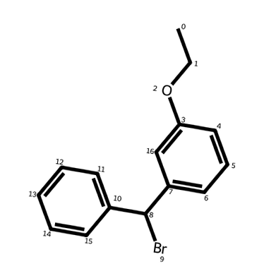 CCOc1cccc(C(Br)c2ccccc2)c1